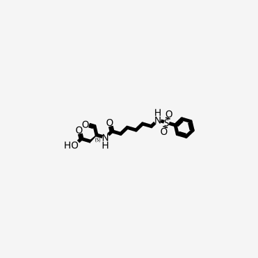 O=C[C@H](CC(=O)O)NC(=O)CCCCCNS(=O)(=O)c1ccccc1